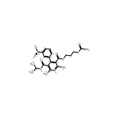 CC(=O)OCCCOC(=O)c1c(C)nc(C)c(C(=O)OC(C)C)c1-c1cccc([N+](=O)[O-])c1